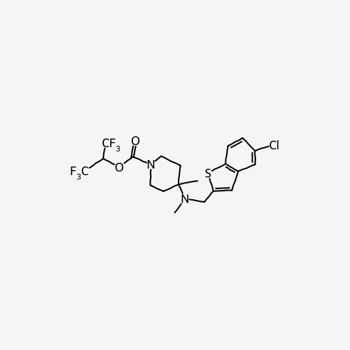 CN(Cc1cc2cc(Cl)ccc2s1)C1(C)CCN(C(=O)OC(C(F)(F)F)C(F)(F)F)CC1